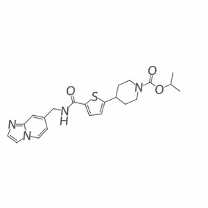 CC(C)OC(=O)N1CCC(c2ccc(C(=O)NCc3ccn4ccnc4c3)s2)CC1